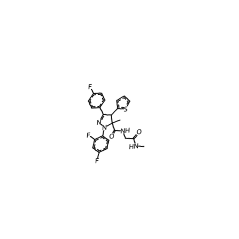 CNC(=O)CNC(=O)C1(C)C(c2cccs2)C(c2ccc(F)cc2)=NN1c1ccc(F)cc1F